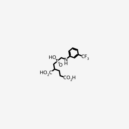 O=C(O)CCC(CP(=O)(O)CNc1cccc(C(F)(F)F)c1)C(=O)O